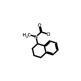 CN(C(=O)Cl)C1CCCc2ccccc21